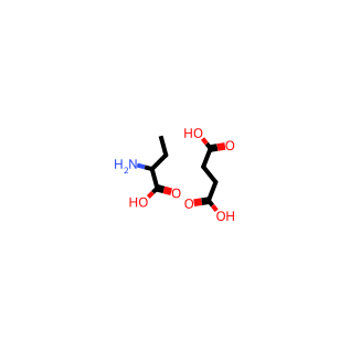 CCC(N)C(=O)O.O=C(O)CCC(=O)O